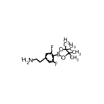 CC1(C)OB(c2c(F)cc(CCN)cc2F)OC1(C)C